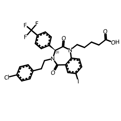 O=C(O)CCCCN1C(=O)[C@H](c2ccc(C(F)(F)F)cc2)N(CCc2ccc(Cl)cc2)C(=O)c2cc(I)ccc21